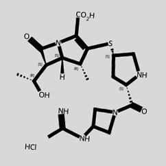 CC(=N)NC1CN(C(=O)[C@@H]2C[C@H](SC3=C(C(=O)O)N4C(=O)[C@H]([C@@H](C)O)[C@H]4[C@H]3C)CN2)C1.Cl